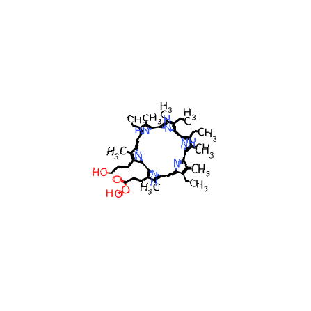 CCC1=C(C)C2=N/C1=C\c1[nH]c(c(CCC(=O)OO)c1C)C1=N/C(=C\c3[nH]c(c(C)c3CC)-c3[nH]c(c(CC)c3C)-c3[nH]c2c(C)c3CC)C(C)=C1CCCO